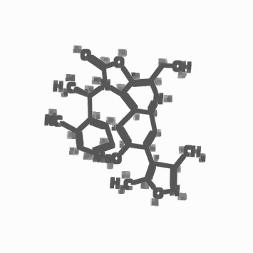 COc1cc2c(cc1-c1c(C)noc1C)nc(CO)c1oc(=O)n([C@H](C)c3ccccc3C#N)c12